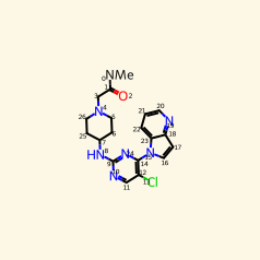 CNC(=O)CN1CCC(Nc2ncc(Cl)c(-n3ccc4ncccc43)n2)CC1